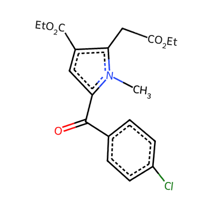 CCOC(=O)Cc1c(C(=O)OCC)cc(C(=O)c2ccc(Cl)cc2)n1C